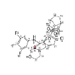 O=C(Nc1cc(F)c(F)c(F)c1)c1ccc(Cl)c(S(=O)(=O)C2C3CCC2CC(O)(COCCN2CCOCC2)C3)c1